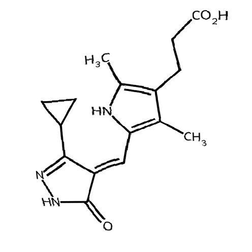 Cc1[nH]c(/C=C2/C(=O)NN=C2C2CC2)c(C)c1CCC(=O)O